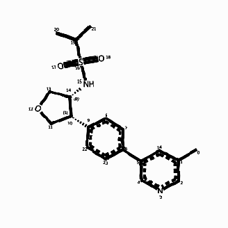 Cc1cncc(-c2ccc([C@@H]3COC[C@@H]3NS(=O)(=O)C(C)C)cc2)c1